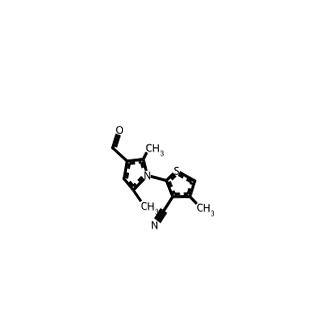 Cc1csc(-n2c(C)cc(C=O)c2C)c1C#N